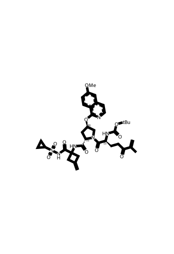 C=C1CC(NC(=O)[C@@H]2C[C@@H](Oc3nccc4cc(OC)ccc34)CN2C(=O)[C@H](CCC(=O)C(=C)C)NC(=O)OC(C)(C)C)(C(=O)NS(=O)(=O)C2CC2)C1